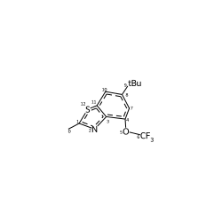 Cc1nc2c(OC(F)(F)F)cc(C(C)(C)C)cc2s1